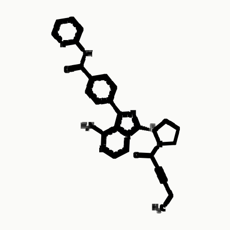 CCC#CC(=O)N1CCC[C@H]1c1nc(-c2ccc(C(=O)Nc3ccccn3)cc2)c2c(N)nccn12